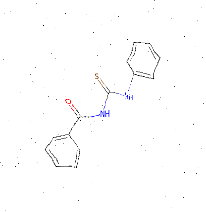 O=C(NC(=S)Nc1ccccc1)c1ccccc1